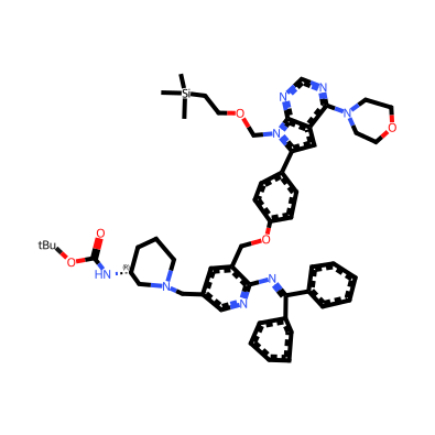 CC(C)(C)OC(=O)N[C@@H]1CCCN(Cc2cnc(N=C(c3ccccc3)c3ccccc3)c(COc3ccc(-c4cc5c(N6CCOCC6)ncnc5n4COCC[Si](C)(C)C)cc3)c2)C1